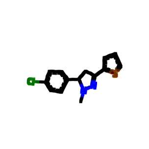 CN1N=C(c2cccs2)CC1c1ccc(Cl)cc1